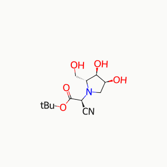 CC(C)(C)OC(=O)[C@H](C#N)N1C[C@H](O)[C@H](O)[C@H]1CO